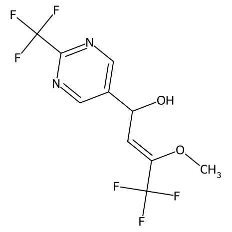 CO/C(=C\C(O)c1cnc(C(F)(F)F)nc1)C(F)(F)F